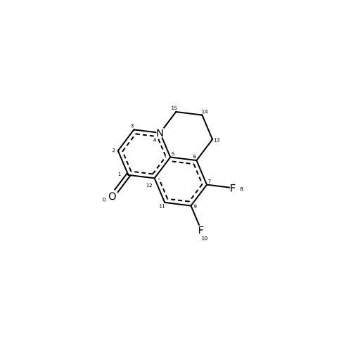 O=c1ccn2c3c(c(F)c(F)cc13)CCC2